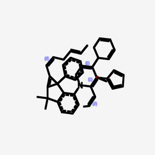 CC=CC/C=C\C1=C2C(C)(C)c3cccc(N(C/C=C(\CC)C4C=CC=CC4)C(/C=C\C)=C/C4=C=CC=C4)c3C12c1ccccc1